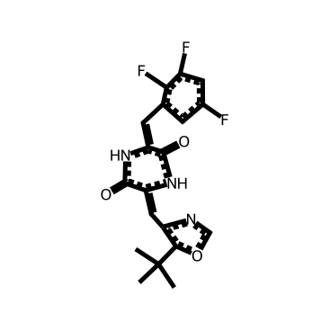 CC(C)(C)c1ocnc1C=c1[nH]c(=O)c(=Cc2cc(F)cc(F)c2F)[nH]c1=O